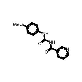 COc1ccc(NC(=O)NC(=O)c2cccnc2)cc1